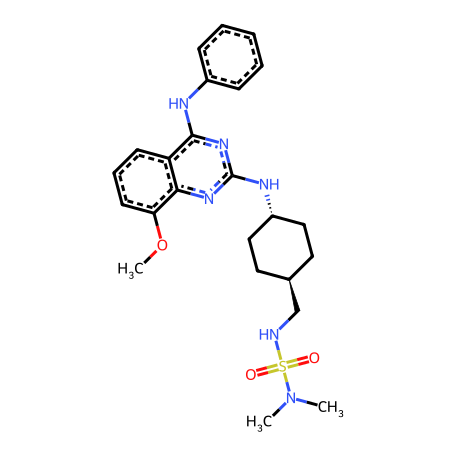 COc1cccc2c(Nc3ccccc3)nc(N[C@H]3CC[C@H](CNS(=O)(=O)N(C)C)CC3)nc12